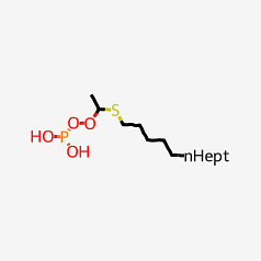 CCCCCCCCCCCCSC(C)OOP(O)O